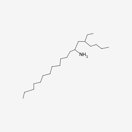 CCCCCCCCCCCCC(N)CC(CC)CCCC